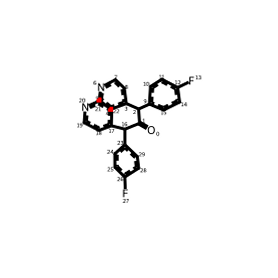 O=C(C(c1ccncc1)c1ccc(F)cc1)C(c1ccncc1)c1ccc(F)cc1